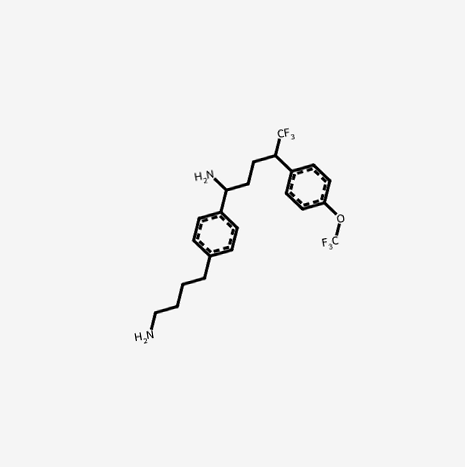 NCCCCc1ccc(C(N)CCC(c2ccc(OC(F)(F)F)cc2)C(F)(F)F)cc1